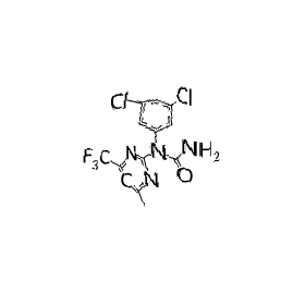 Cc1cc(C(F)(F)F)nc(N(C(N)=O)c2cc(Cl)cc(Cl)c2)n1